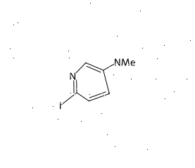 CNc1ccc(I)nc1